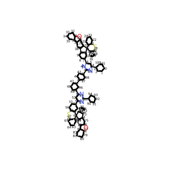 c1ccc(-c2cc(-c3ccc4c(c3)C3(c5ccccc5Sc5ccccc53)c3cc5oc6ccccc6c5cc3-4)nc(-c3ccc(-c4cccc(-c5cc(-c6ccc7c(c6)C6(c8ccccc8S7)c7ccccc7-c7cc8oc9ccccc9c8cc76)nc(-c6ccccc6)n5)c4)cc3)n2)cc1